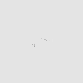 CC[C@@]1(O)CCN(C)C1